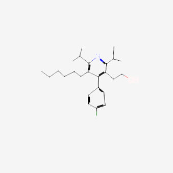 CCCCCCc1c(C(C)C)nc(C(C)C)c(CCO)c1-c1ccc(F)cc1